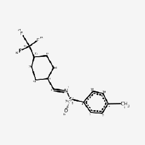 Cc1ccc([S@+]([O-])N=CC2CCC(C(F)(F)F)CC2)cc1